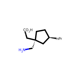 CCC[C@@H]1CC[C@](CN)(CC(=O)O)C1